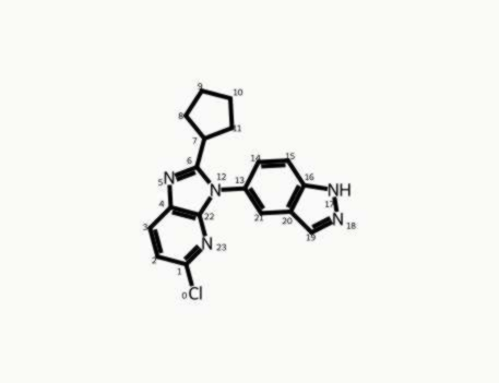 Clc1ccc2nc(C3CCCC3)n(-c3ccc4[nH]ncc4c3)c2n1